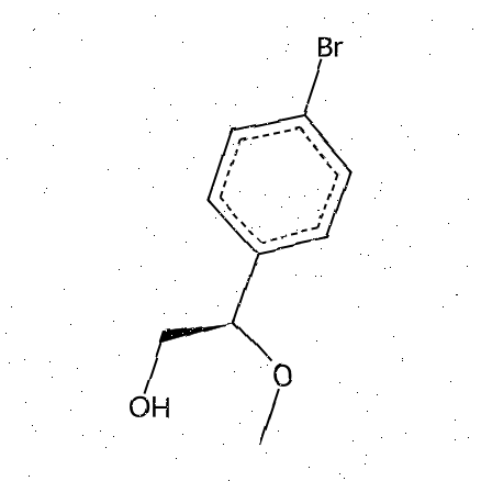 CO[C@@H](CO)c1ccc(Br)cc1